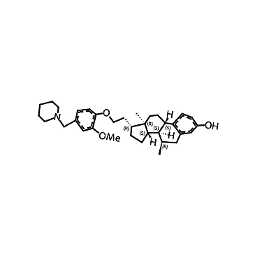 COc1cc(CN2CCCCC2)ccc1OCC[C@H]1CC[C@H]2[C@@H]3[C@H](C)Cc4cc(O)ccc4[C@H]3CC[C@]12C